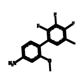 COc1cc(N)ccc1-c1cc(C)c(F)c(F)c1F